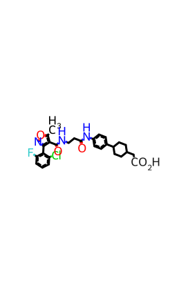 Cc1onc(-c2c(F)cccc2Cl)c1C(=O)NCCC(=O)Nc1ccc(C2CCC(CC(=O)O)CC2)cc1